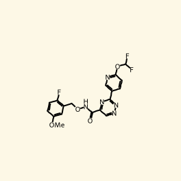 COc1ccc(F)c(CONC(=O)c2cnnc(-c3ccc(OC(F)F)nc3)n2)c1